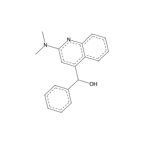 CN(C)c1cc(C(O)c2ccccc2)c2ccccc2n1